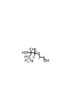 CC(C)(O)C(I)(I)OCCO.[TeH2]